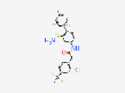 C=C(C)/C=C\C(=C/C)c1ccc(NC(=O)Cc2ccc(C(C)(F)F)cc2Cl)cc1SN